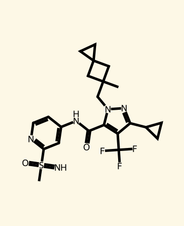 CC1(Cn2nc(C3CC3)c(C(F)(F)F)c2C(=O)Nc2ccnc(S(C)(=N)=O)c2)CC2(CC2)C1